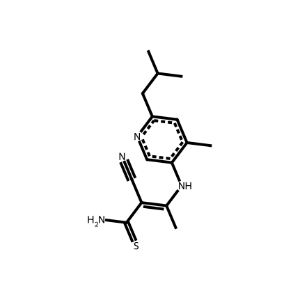 CC(Nc1cnc(CC(C)C)cc1C)=C(C#N)C(N)=S